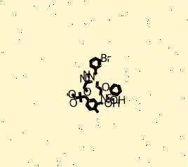 CCC1CN(Cc2cc(C(OCc3cn(Cc4cccc(Br)c4)nn3)C(C)(C)C(=O)OC)ccc2C)S(O)(O)c2ccccc2O1